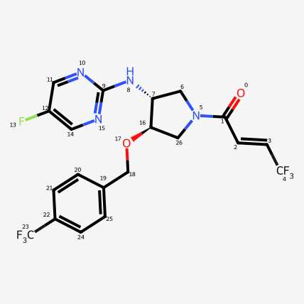 O=C(/C=C/C(F)(F)F)N1C[C@@H](Nc2ncc(F)cn2)[C@H](OCc2ccc(C(F)(F)F)cc2)C1